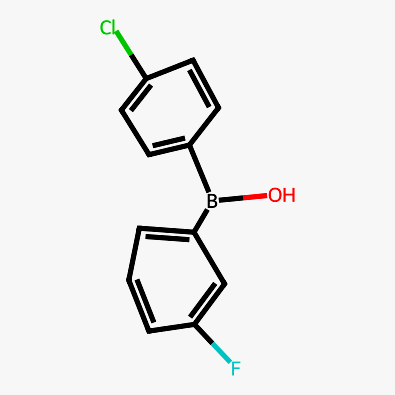 OB(c1ccc(Cl)cc1)c1cccc(F)c1